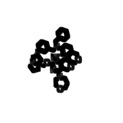 N#Cc1c(N(Cc2ccccc2)Cc2ccccc2)ccc2c1C1(COC2)Cc2nc(OC[C@@]34CCCN3C[C@H](F)C4)nc(N3CCCOCC3)c2CO1